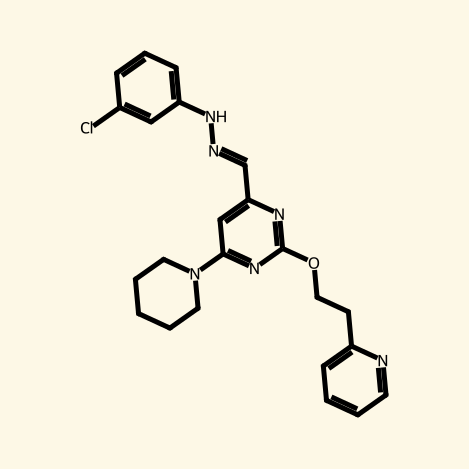 Clc1cccc(N/N=C/c2cc(N3CCCCC3)nc(OCCc3ccccn3)n2)c1